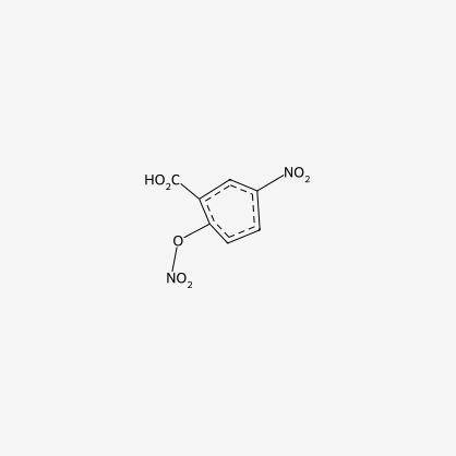 O=C(O)c1cc([N+](=O)[O-])ccc1O[N+](=O)[O-]